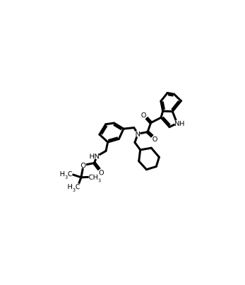 CC(C)(C)OC(=O)NCc1cccc(CN(CC2CCCCC2)C(=O)C(=O)c2c[nH]c3ccccc23)c1